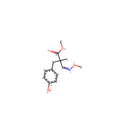 CO/N=C\C(C)(Cc1ccc(O)cc1)C(=O)OC